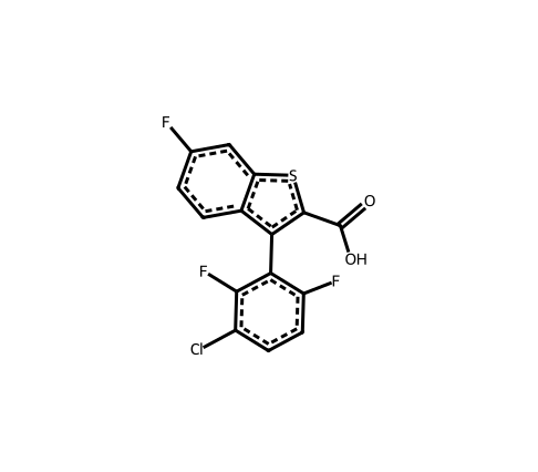 O=C(O)c1sc2cc(F)ccc2c1-c1c(F)ccc(Cl)c1F